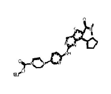 CN(C)C(=O)c1sc2cnc(Nc3ccc(N4CCN(C(=O)OC(C)(C)C)CC4)cn3)nc2c1C1CCCC1